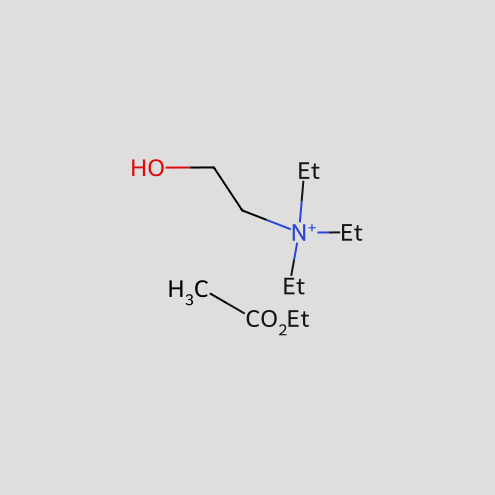 CCOC(C)=O.CC[N+](CC)(CC)CCO